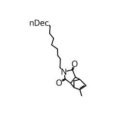 CCCCCCCCCCCCCCCCCCN1C(=O)C2C3C=C(C)C(C3)C2C1=O